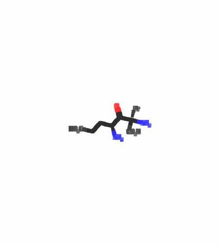 CC(C)[C@](N)(C(=O)O)C(=O)[C@@H](N)CCC(=O)O